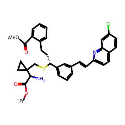 COC(=O)c1ccccc1CC[C@@H](SCC1(C(N)C(=O)OC(C)C)CC1)c1cccc(C=Cc2ccc3ccc(Cl)cc3n2)c1